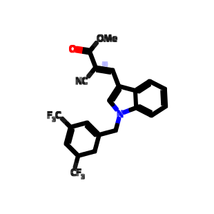 COC(=O)/C(C#N)=C/c1cn(CC2=CC(C(F)(F)F)=CC(C(F)(F)F)C2)c2ccccc12